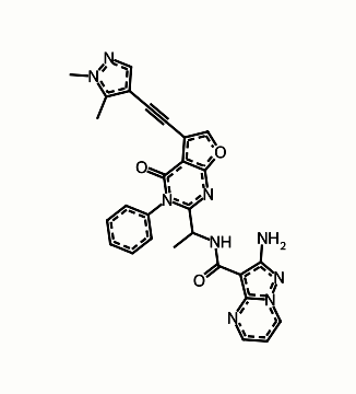 Cc1c(C#Cc2coc3nc(C(C)NC(=O)c4c(N)nn5cccnc45)n(-c4ccccc4)c(=O)c23)cnn1C